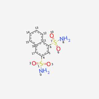 NS(=O)(=O)c1cc(S(N)(=O)=O)c2ccccc2c1